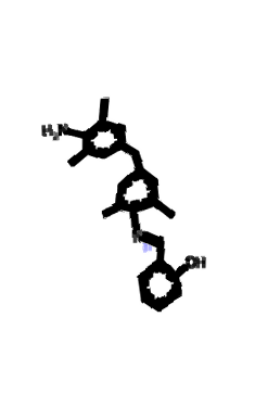 Cc1cc(Cc2cc(C)c(/N=C/c3ccccc3O)c(C)c2)cc(C)c1N